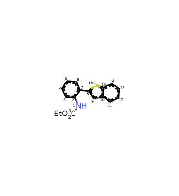 CCOC(=O)Nc1ccccc1-c1cc2ccccc2s1